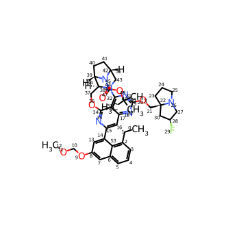 CCc1cccc2cc(OCOC)cc(-c3cc4nc(OC[C@@]56CCCN5C[C@@H](F)C6)nc5c4c(n3)OC[C@H]3[C@@H]4CC[C@H](CN53)N4C(=O)OC(C)(C)C)c12